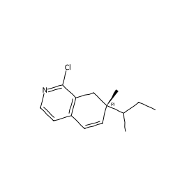 CCC(C)[C@]1(C)C=Cc2ccnc(Cl)c2C1